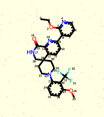 CCOc1ncccc1-c1ccc2c(n1)C(=O)NCC21CCN(c2cccc(OC)c2C(F)(F)F)CC1